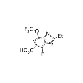 CCc1nc2c(OC(F)(F)F)cc(C(=O)O)c(F)c2s1